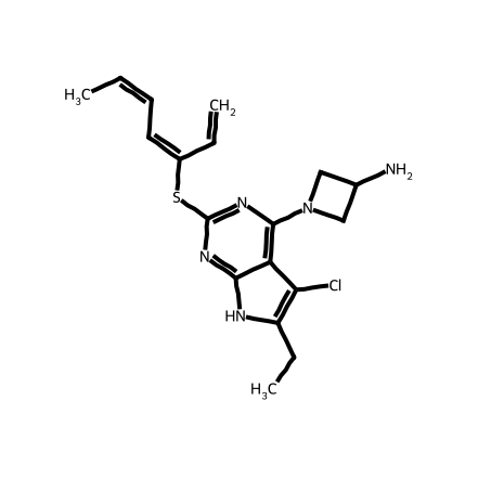 C=C/C(=C\C=C/C)Sc1nc(N2CC(N)C2)c2c(Cl)c(CC)[nH]c2n1